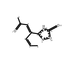 C/C=C\C(=C/C(C)=O)c1noc(=O)[nH]1